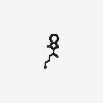 [O]CCCC(=S)c1nc2ccccc2[nH]1